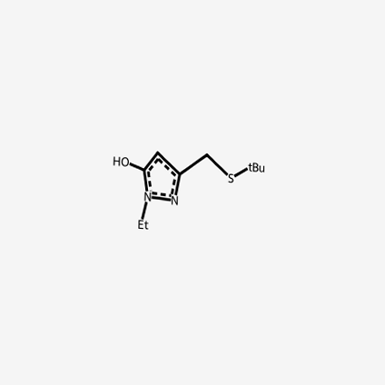 CCn1nc(CSC(C)(C)C)cc1O